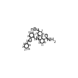 CCCCc1c[c]c2c3c(C(N)=O)cccc3n(Cc3ccccc3OCc3ccccc3)c2c1